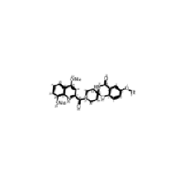 CCOc1ccc2c(c1)C(=O)NC1(CCN(C(=O)c3cc(OC)c4cccc(SC)c4n3)CC1)O2